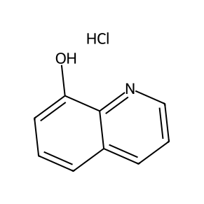 Cl.Oc1cccc2cccnc12